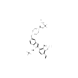 C=Cc1ccc(-c2cc3cc(CN4CCN(C(CC(C)(C)C)O[SiH](C)C)CC4)ccc3n2C(=O)OC(C)(C)C)c2c1CNC2=O